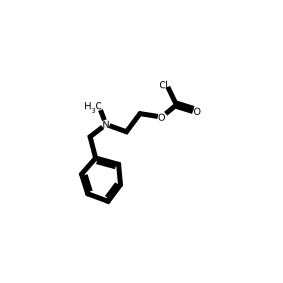 CN(CCOC(=O)Cl)Cc1ccccc1